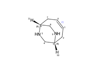 C1=C\C[C@@H]2CN[C@H](C/1)CN2